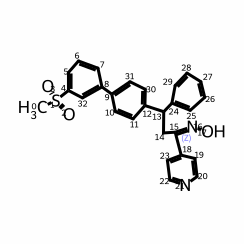 CS(=O)(=O)c1cccc(-c2ccc(C(C/C(=N/O)c3ccncc3)c3ccccc3)cc2)c1